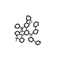 CC1(C)c2ccccc2N2c3cc(N(c4cccc(-c5ccccc5)c4)c4cccc(-c5ccccc5)c4)cc4c3B(c3cccc1c32)N(c1ccccc1)c1cc2c(cc1-4)oc1ccccc12